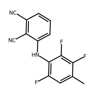 Cc1cc(F)c(Nc2cccc(C#N)c2C#N)c(F)c1F